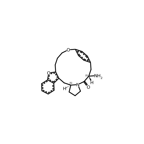 N[C@H]1Cc2ccc(cc2)OCCCc2oc3ccccc3c2C[C@@H]2CCCN2C1=O